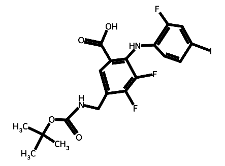 CC(C)(C)OC(=O)NCc1cc(C(=O)O)c(Nc2ccc(I)cc2F)c(F)c1F